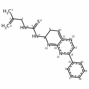 C=C(C)CNC(=S)NC1CC=c2ncc(-c3ccccc3)nc2=N1